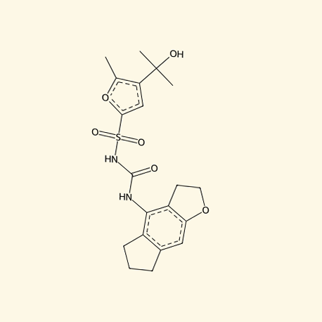 Cc1oc(S(=O)(=O)NC(=O)Nc2c3c(cc4c2CCO4)CCC3)cc1C(C)(C)O